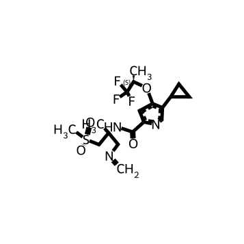 C=NCC(C)(CS(C)(=O)=O)NC(=O)c1cc(O[C@@H](C)C(F)(F)F)c(C2CC2)cn1